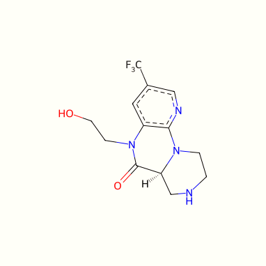 O=C1[C@@H]2CNCCN2c2ncc(C(F)(F)F)cc2N1CCO